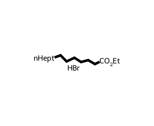 Br.CCCCCCCCCCCCCC(=O)OCC